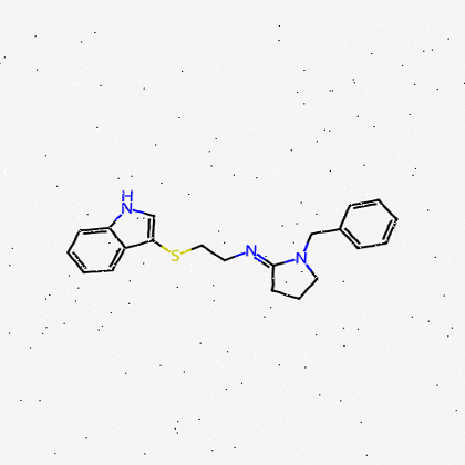 c1ccc(CN2CCCC2=NCCSc2c[nH]c3ccccc23)cc1